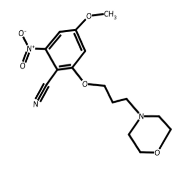 COc1cc(OCCCN2CCOCC2)c(C#N)c([N+](=O)[O-])c1